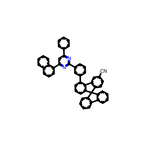 N#Cc1ccc2c(c1)-c1c(-c3cccc(-c4nc(-c5ccccc5)cc(-c5cccc6ccccc56)n4)c3)cccc1C21c2ccccc2-c2ccccc21